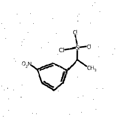 CC(c1cccc([N+](=O)[O-])c1)[Si](Cl)(Cl)Cl